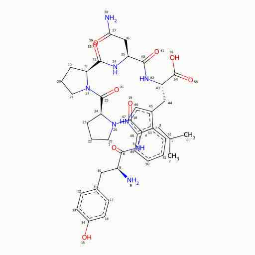 CC(C)C[C@H](NC(=O)[C@@H](N)Cc1ccc(O)cc1)C(=O)N1CCC[C@H]1C(=O)N1CCC[C@H]1C(=O)N[C@@H](CC(N)=O)C(=O)N[C@@H](Cc1c[nH]c2ccccc12)C(=O)O